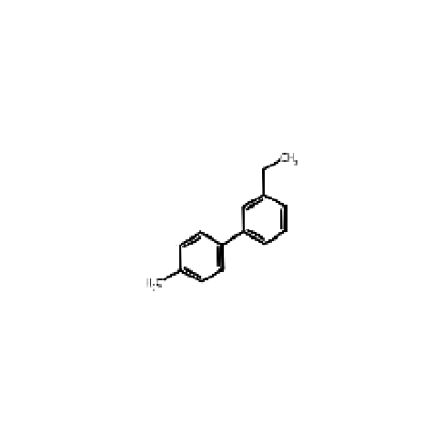 CCc1cccc(-c2c[c]c(C)cc2)c1